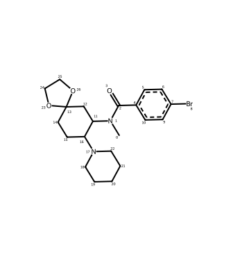 CN(C(=O)c1ccc(Br)cc1)C1CC2(CCC1N1CCCCC1)OCCO2